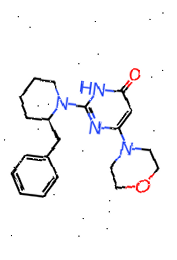 O=c1cc(N2CCOCC2)nc(N2CCCC[C@@H]2Cc2ccccc2)[nH]1